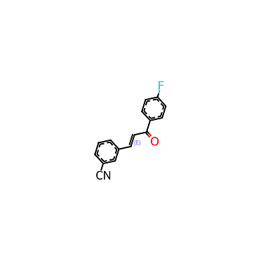 N#Cc1cccc(/C=C/C(=O)c2ccc(F)cc2)c1